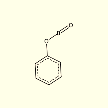 O=BOc1ccccc1